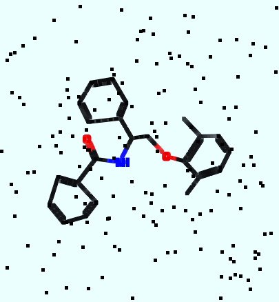 Cc1cccc(C)c1OCC(NC(=O)c1ccccc1)c1ccccc1